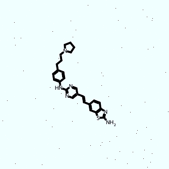 Nc1nc2ccc(C=Cc3cnc(Nc4ccc(CCCN5CCCC5)cc4)nc3)cc2s1